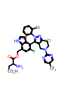 CCc1cccc(CC)c1-n1nc2c(c1-c1c(F)cc(COC(=O)C(N)CC(=O)O)c3[nH]ccc13)CN(c1ncc(C(F)(F)F)cn1)CC2.Cl